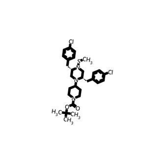 CSN1C[C@H](Cc2ccc(Cl)cc2)N(C2CCN(C(=O)OC(C)(C)C)CC2)C[C@@H]1Cc1ccc(Cl)cc1